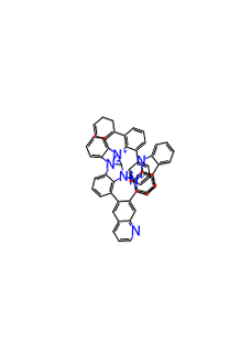 C1=CCCC(c2cccc(-c3ccccc3)c2[N+]23c4ccccc4[N+]24c2cccc5c2[N+]2(c6c(ccc7c8ccccc8n(c67)-c6cccc[n+]62)-c2cc6ncccc6cc2-5)C43)=C1